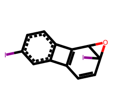 Ic1ccc2c(c1)C1=C2C2OC2(I)C=C1